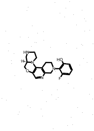 Oc1cccc(F)c1N1CCc2c(ncc3c2N2CCNC[C@@H]2CO3)C1